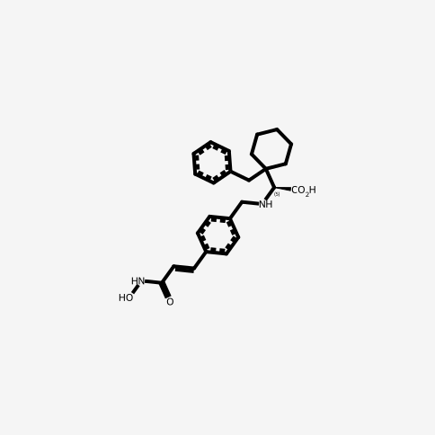 O=C(C=Cc1ccc(CN[C@H](C(=O)O)C2(Cc3ccccc3)CCCCC2)cc1)NO